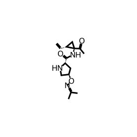 C=C[C@@H]1C[C@]1(NC(=O)[C@@H]1C[C@@H](ON=C(C)C)CN1)C(C)=O